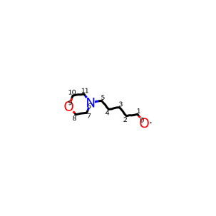 [O]CCCCCN1CCOCC1